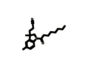 CCCCCCCC(=O)N1CC(C)(CCC#N)c2cc(C)ccc21